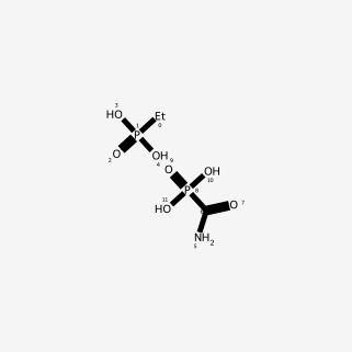 CCP(=O)(O)O.NC(=O)P(=O)(O)O